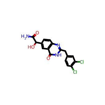 NC(=O)C(O)c1ccc2nc(Cc3ccc(Cl)c(Cl)c3)[nH]c(=O)c2c1